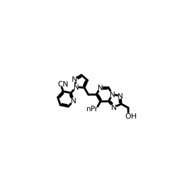 CCCc1c(Cc2ccnn2-c2ncccc2C#N)ncn2nc(CO)nc12